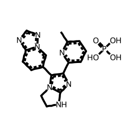 Cc1cccc(-c2nc3n(c2-c2ccc4ncnn4c2)CCN3)n1.O=P(O)(O)O